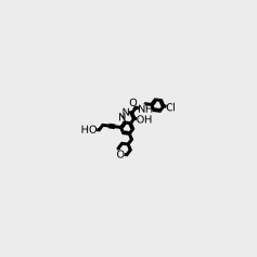 O=C(NCc1ccc(Cl)cc1)c1nnc2c(C#CCCO)cc(CC3CCOCC3)cc2c1O